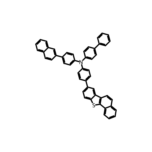 c1ccc(-c2ccc(N(c3ccc(-c4ccc5ccccc5c4)cc3)c3ccc(-c4ccc5sc6c7ccccc7ccc6c5c4)cc3)cc2)cc1